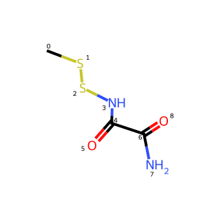 CSSNC(=O)C(N)=O